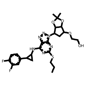 CCCSc1nc(NC2CC2c2ccc(F)c(F)c2)c2nnn(C3CC(OCCO)C4OC(C)(C)OC43)c2n1